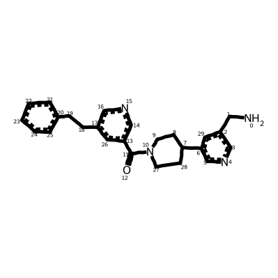 NCc1cncc(C2CCN(C(=O)c3cncc(CCc4ccccc4)c3)CC2)c1